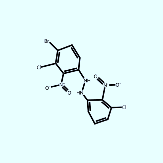 O=[N+]([O-])c1c(Cl)cccc1NNc1ccc(Br)c(Cl)c1[N+](=O)[O-]